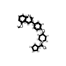 COc1cccc2ncc(-c3ccc(OC4CCN(C(=O)C5CCCC5)CC4)cc3)cc12